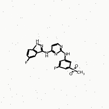 CS(=O)(=O)c1cc(F)cc(Nc2nccc(Nc3n[nH]c4ccc(F)cc34)n2)c1